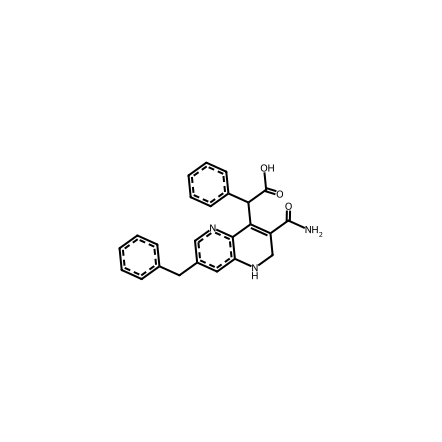 NC(=O)C1=C(C(C(=O)O)c2ccccc2)c2ncc(Cc3ccccc3)cc2NC1